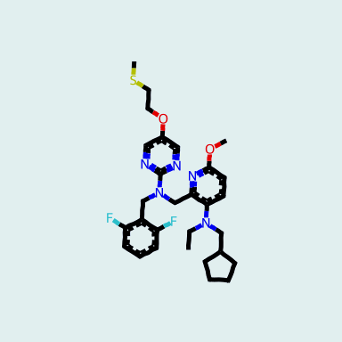 CCN(CC1CCCC1)c1ccc(OC)nc1CN(Cc1c(F)cccc1F)c1ncc(OCCSC)cn1